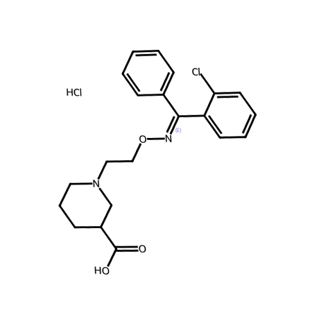 Cl.O=C(O)C1CCCN(CCO/N=C(\c2ccccc2)c2ccccc2Cl)C1